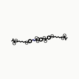 C=C(C)C(=O)OCCCCCCOc1ccc(/C=C/C(=O)Oc2ccc(OC(=O)c3ccc(OCCCCCCOC(=O)C(=C)C)cc3)cc2C)cc1